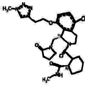 CNC(=O)[C@@H]1CCCCC1C(=O)N1CCc2c(Cl)ccc(OCCc3cn(C)nn3)c2[C@H]1CN1CCCC1=O